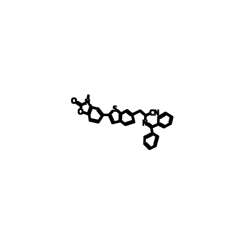 Cn1c(=O)oc2ccc(-c3cc4ccc(CC(C#N)N=C(c5ccccc5)c5ccccc5)cc4s3)cc21